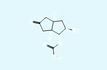 COC(=O)O[C@@H]1[C@H]2CC(=O)C[C@H]2C[C@H]1O